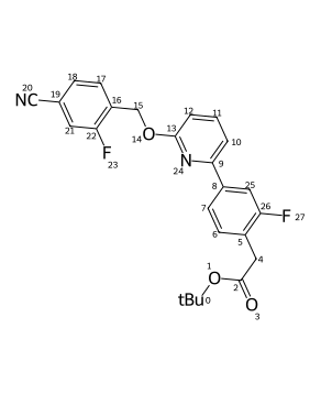 CC(C)(C)OC(=O)Cc1ccc(-c2cccc(OCc3ccc(C#N)cc3F)n2)cc1F